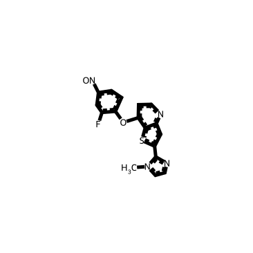 Cn1ccnc1-c1cc2nccc(Oc3ccc(N=O)cc3F)c2s1